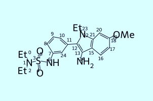 CCN(CC)S(=O)(=O)Nc1cccc(-c2c(N)c3ccc(OC)cc3n2CC)c1